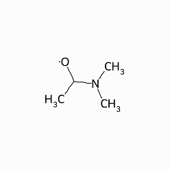 CC([O])N(C)C